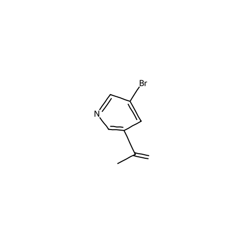 C=C(C)c1cncc(Br)c1